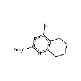 CCOC(=O)c1cc(Br)c2c(n1)CCCC2